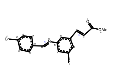 COC(=O)/C=C/c1cc(F)cc(/N=C/c2ccc(Br)cc2)c1